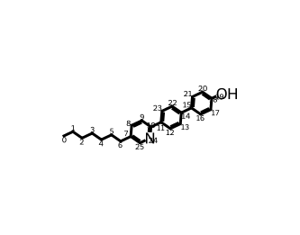 CCCCCCCc1ccc(-c2ccc(-c3ccc(O)cc3)cc2)nc1